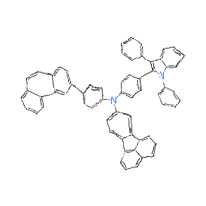 c1ccc(-c2c(-c3ccc(N(c4ccc(-c5ccc6ccc7ccccc7c6c5)cc4)c4ccc5c(c4)-c4cccc6cccc-5c46)cc3)n(-c3ccccc3)c3ccccc23)cc1